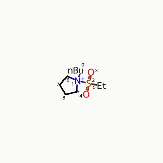 CCCC[N+]1(S(=O)(=O)CC)CCCC1